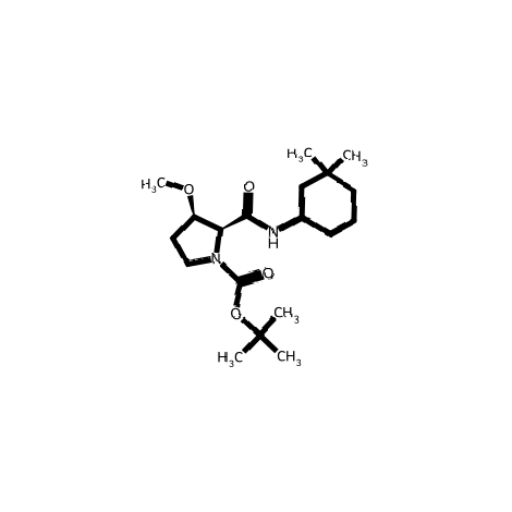 CO[C@@H]1CCN(C(=O)OC(C)(C)C)[C@@H]1C(=O)NC1CCCC(C)(C)C1